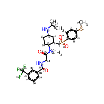 CSc1ccc(S(=O)(=O)C[C@@H]2C[C@H](NC(C)C)CCC2N(C)C(=O)CNC(=O)c2cccc(C(F)(F)F)c2)cc1